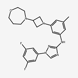 Cc1cc(Nc2ncn(-c3cc(F)cc(F)c3)n2)cc(N2CC(N3CCCOCC3)C2)c1